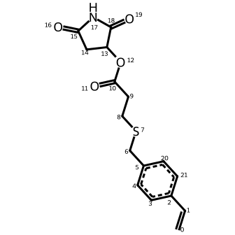 C=Cc1ccc(CSCCC(=O)OC2CC(=O)NC2=O)cc1